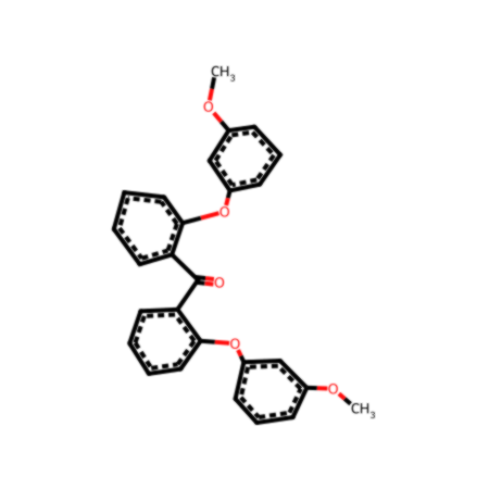 COc1cccc(Oc2ccccc2C(=O)c2ccccc2Oc2cccc(OC)c2)c1